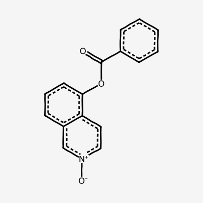 O=C(Oc1cccc2c[n+]([O-])ccc12)c1ccccc1